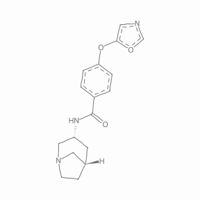 O=C(N[C@@H]1C[C@@H]2CCN(C2)C1)c1ccc(Oc2cnco2)cc1